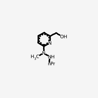 CCCNN(C)c1cccc(CO)n1